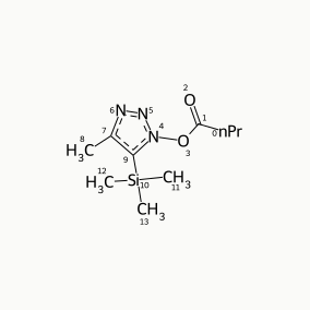 CCCC(=O)On1nnc(C)c1[Si](C)(C)C